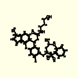 CC[C@@H]1CN(Cc2cc(C(CC(=O)NCCCO)c3ccc4c(nnn4CC)c3C)ccc2C)S(=O)(=O)c2cccnc2O1